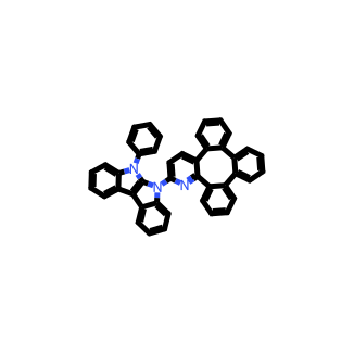 c1ccc(-n2c3ccccc3c3c4ccccc4n(-c4ccc5c(n4)-c4ccccc4-c4ccccc4-c4ccccc4-5)c32)cc1